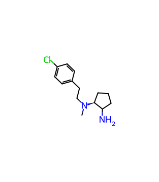 CN(CCc1ccc(Cl)cc1)[C@H]1CCCC1N